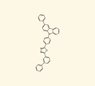 c1ccc(-c2cccc(-c3nnc(-c4ccc(-n5c6ccccc6c6cc(-c7ccccc7)ccc65)cc4)o3)c2)cc1